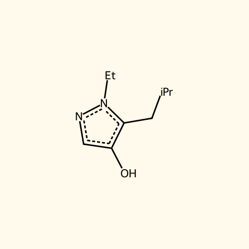 CCn1ncc(O)c1CC(C)C